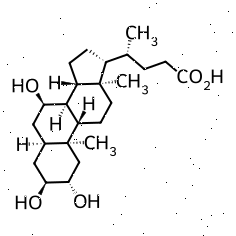 C[C@H](CCC(=O)O)[C@H]1CC[C@H]2[C@@H]3[C@H](O)C[C@@H]4C[C@H](O)[C@@H](O)C[C@]4(C)[C@H]3CC[C@]12C